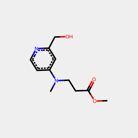 COC(=O)CCN(C)c1ccnc(CO)c1